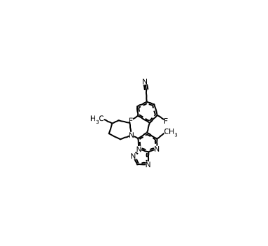 Cc1nc2ncnn2c(N2CCC(C)CC2)c1-c1c(F)cc(C#N)cc1F